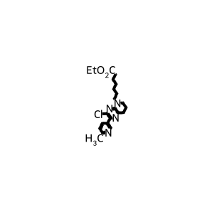 CCOC(=O)CCCCCCN1CCCc2nc(-c3ccc(C)nc3)c(Cl)nc21